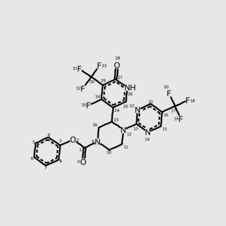 O=C(Oc1ccccc1)N1CCN(c2ncc(C(F)(F)F)cn2)C(c2c[nH]c(=O)c(C(F)(F)F)c2F)C1